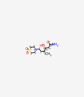 C[C@H](CCN1CCS(=O)(=O)CC1)[C@@H](O)CC(N)=O